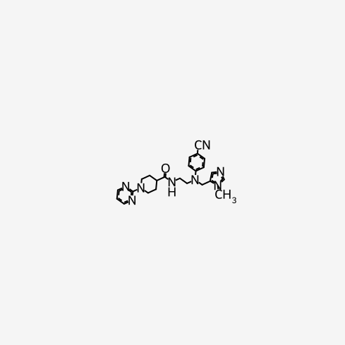 Cn1cncc1CN(CCNC(=O)C1CCN(c2ncccn2)CC1)c1ccc(C#N)cc1